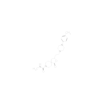 CNC(=O)N1CCC2(CC1)CC(CCN1CCN(c3ccc(C)cc3)CC1)OC2=O